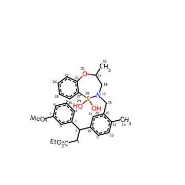 CCOC(=O)CC(c1cccc(OC)c1)c1ccc(C)c(CN2CC(C)Oc3ccccc3S2(O)O)c1